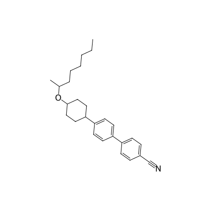 CCCCCCC(C)OC1CCC(c2ccc(-c3ccc(C#N)cc3)cc2)CC1